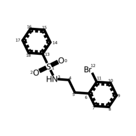 O=S(=O)(NCCc1ccccc1Br)c1ccccc1